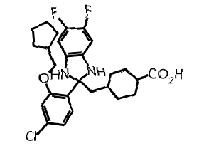 O=C(O)C1CCC(CC2(c3ccc(Cl)cc3OCC3CCCC3)Nc3cc(F)c(F)cc3N2)CC1